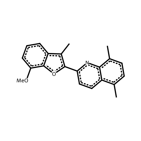 COc1cccc2c(C)c(-c3ccc4c(C)ccc(C)c4n3)oc12